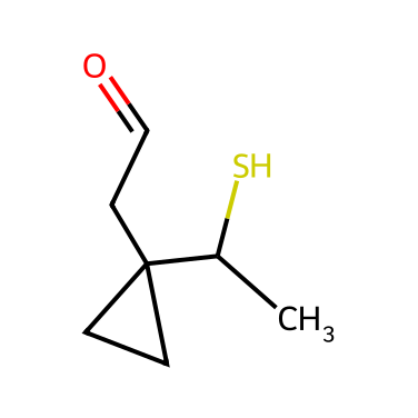 CC(S)C1(CC=O)CC1